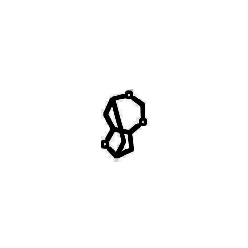 C1OC2CC3CC(O1)C(C2)O3